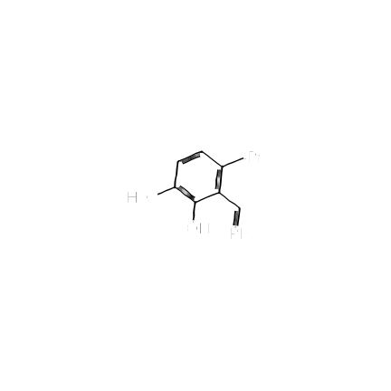 Cc1ccc(C(C)C)c(C=P)c1O